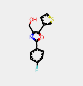 OCc1nc(-c2ccc(F)cc2)oc1-c1ccsc1